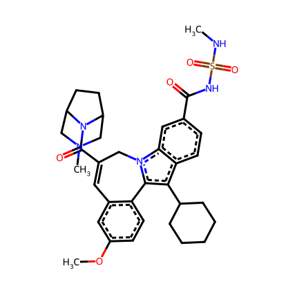 CNS(=O)(=O)NC(=O)c1ccc2c(C3CCCCC3)c3n(c2c1)CC(C(=O)N1C2CCC1CN(C)C2)=Cc1cc(OC)ccc1-3